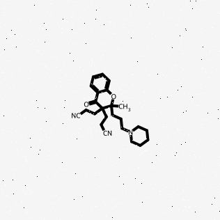 CC1(CCCN2CCCCC2)Oc2ccccc2C(=O)C1(CCC#N)CCC#N